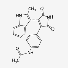 CC(=O)Nc1ccc(C2=C(c3c(C)[nH]c4ccccc34)C(=O)NC2=O)cc1